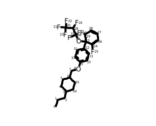 CCCC1CCC(COc2ccc(C3(OC(F)(F)C(F)C(F)(F)F)C(F)=CC=CC3F)cc2)CC1